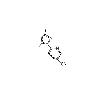 Cc1cc(C)n(-c2ccc(C#N)cn2)n1